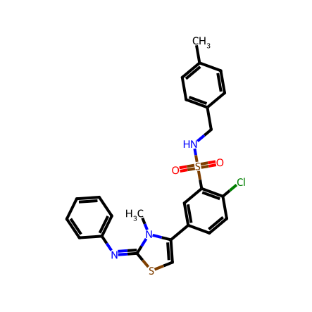 Cc1ccc(CNS(=O)(=O)c2cc(-c3cs/c(=N/c4ccccc4)n3C)ccc2Cl)cc1